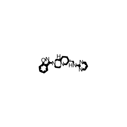 c1cnc(NC[C@@H]2CC[C@H]3CN(c4noc5ccccc45)CCN3C2)nc1